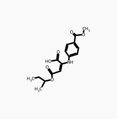 CCC(C)OC(=O)C=C(Nc1ccc(C(=O)OC)cc1)C(=O)O